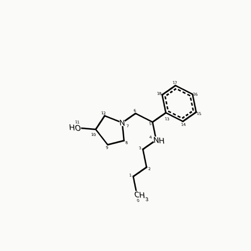 CCCCNC(CN1CCC(O)C1)c1ccccc1